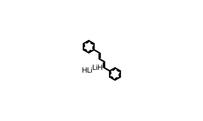 C(/C=C/c1ccccc1)=C\c1ccccc1.[LiH].[LiH]